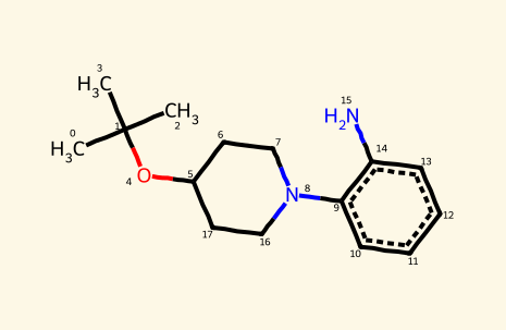 CC(C)(C)OC1CCN(c2ccccc2N)CC1